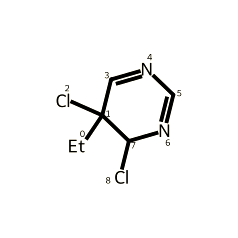 CCC1(Cl)C=NC=NC1Cl